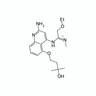 CCOC/C(=N/C)Nc1cc(N)nc2cccc(OCCC(C)(C)O)c12